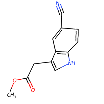 COC(=O)Cc1c[nH]c2ccc(C#N)cc12